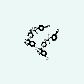 N#Cc1ccc(NC(=S)NC2CCN(c3ncnc4cc(Cl)ccc34)CC2)cc1.N#Cc1cccc(NC(=S)NC2CCN(c3ncnc4cc(Cl)ccc34)CC2)c1